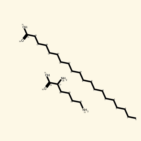 CCCCCCCCCCCCCCCCCCCC(=O)O.NCCCCC(N)C(=O)O